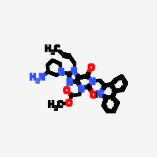 CC#CCn1c(N2CCCC(N)C2)nc2c1c(=O)n(Cc1nc3ccccc3c3ccccc13)c(=O)n2CC(=O)OC